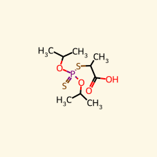 CC(C)OP(=S)(OC(C)C)SC(C)C(=O)O